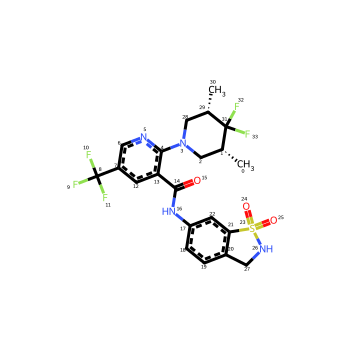 C[C@@H]1CN(c2ncc(C(F)(F)F)cc2C(=O)Nc2ccc3c(c2)S(=O)(=O)NC3)C[C@H](C)C1(F)F